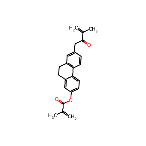 C=C(C)C(=O)Cc1ccc2c(c1)CCc1cc(OC(=O)C(=C)C)ccc1-2